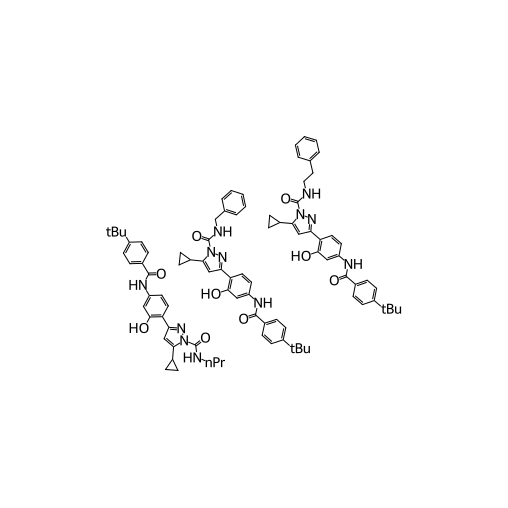 CC(C)(C)c1ccc(C(=O)Nc2ccc(-c3cc(C4CC4)n(C(=O)NCCc4ccccc4)n3)c(O)c2)cc1.CC(C)(C)c1ccc(C(=O)Nc2ccc(-c3cc(C4CC4)n(C(=O)NCc4ccccc4)n3)c(O)c2)cc1.CCCNC(=O)n1nc(-c2ccc(NC(=O)c3ccc(C(C)(C)C)cc3)cc2O)cc1C1CC1